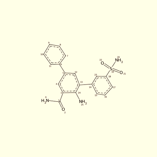 NC(=O)c1cc(-c2ccccc2)cc(-c2cccc(S(N)(=O)=O)c2)c1N